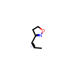 C/C=C\C1=NOCC1